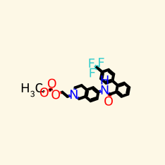 COC(=O)OCCN1CCc2cc(NC(=O)c3ccccc3-c3ccc(C(F)(F)F)cc3)ccc2C1